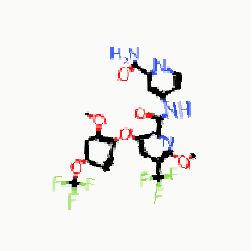 COc1cc(OC(F)(F)F)ccc1Oc1cc(C(F)(F)F)c(OC)nc1C(=O)Nc1ccnc(C(N)=O)c1